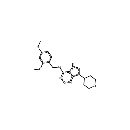 COc1ccc(CNc2ncnc3c(C4CCOCC4)c[nH]c23)c(OC)c1